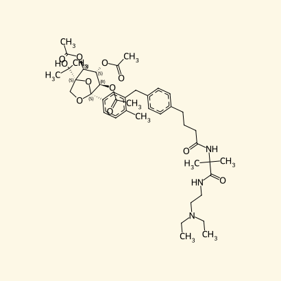 CCN(CC)CCNC(=O)C(C)(C)NC(=O)CCCc1ccc(Cc2cc([C@]34OC[C@](C(C)(C)O)(O3)[C@@H](OC(C)=O)[C@H](OC(C)=O)[C@H]4OC(C)=O)ccc2C)cc1